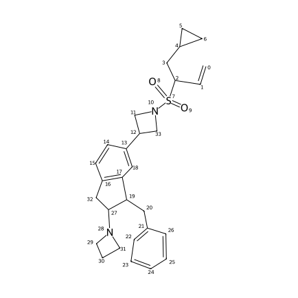 C=CC(CC1CC1)S(=O)(=O)N1CC(c2ccc3c(c2)C(Cc2ccccc2)C(N2CCC2)C3)C1